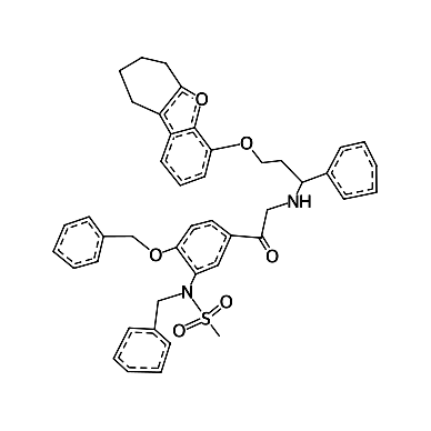 CS(=O)(=O)N(Cc1ccccc1)c1cc(C(=O)CNC(CCOc2cccc3c4c(oc23)CCCC4)c2ccccc2)ccc1OCc1ccccc1